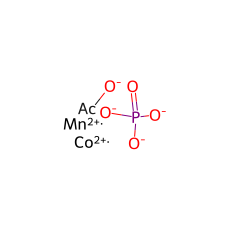 CC(=O)[O-].O=P([O-])([O-])[O-].[Co+2].[Mn+2]